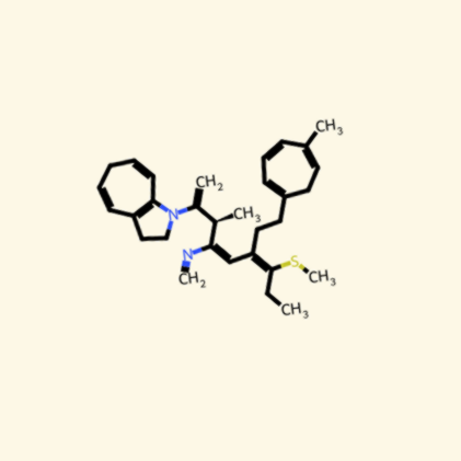 C=N/C(=C/C(CCC1=CC=CC(C)=CC1)=C(\CC)SC)[C@H](C)C(=C)N1CCC2=C1C=CCC=C2